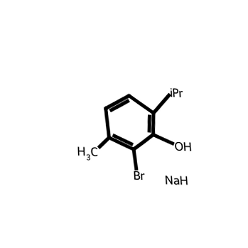 Cc1ccc(C(C)C)c(O)c1Br.[NaH]